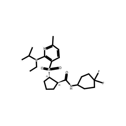 CCN(c1nc(C)ccc1S(=O)(=O)[C@H]1CCC[C@@H]1C(=O)NC1CCC(F)(F)CC1)C(C)C